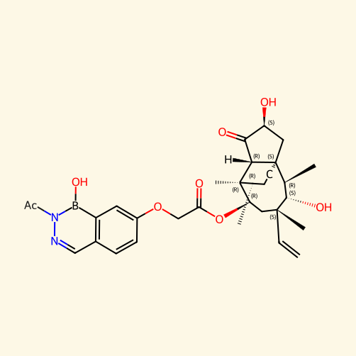 C=C[C@]1(C)C[C@@H](OC(=O)COc2ccc3c(c2)B(O)N(C(C)=O)N=C3)[C@]2(C)[C@H](C)CC[C@]3(C[C@H](O)C(=O)[C@H]32)[C@@H](C)[C@@H]1O